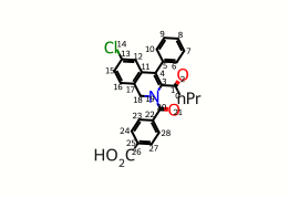 CCCC(=O)C1=C(c2ccccc2)c2cc(Cl)ccc2CN1C(=O)c1ccc(C(=O)O)cc1